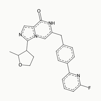 CC1OCCC1c1ncc2c(=O)[nH]c(Cc3ccc(-c4cccc(F)n4)cc3)cn12